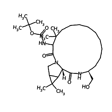 CC(C)(C)OC(=O)NC1C(=O)N2CC3C([C@H]2C(=O)N[C@H](CO)CCCCCCCCCC1(C)C)C3(C)C